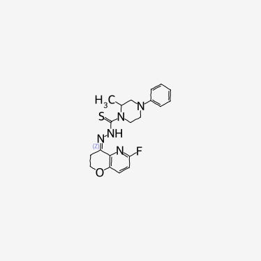 CC1CN(c2ccccc2)CCN1C(=S)N/N=C1/CCOc2ccc(F)nc21